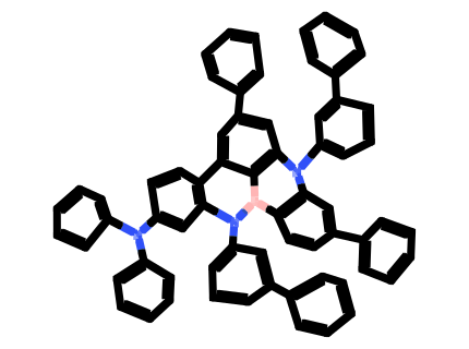 c1ccc(-c2cccc(N3B4c5ccc(-c6ccccc6)cc5N(c5cccc(-c6ccccc6)c5)c5cc(-c6ccccc6)cc(c54)-c4ccc(N(c5ccccc5)c5ccccc5)cc43)c2)cc1